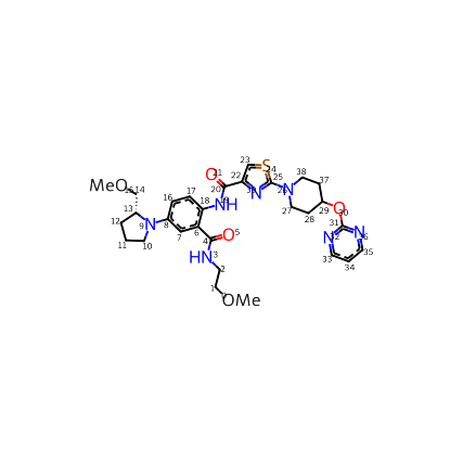 COCCNC(=O)c1cc(N2CCC[C@@H]2COC)ccc1NC(=O)c1csc(N2CCC(Oc3ncccn3)CC2)n1